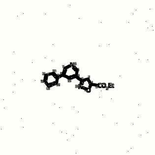 CCOC(=O)C1CC(c2cncc(-c3ccccc3)c2)=NO1